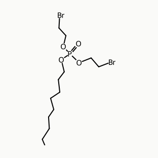 CCCCCCCCCOP(=O)(OCCBr)OCCBr